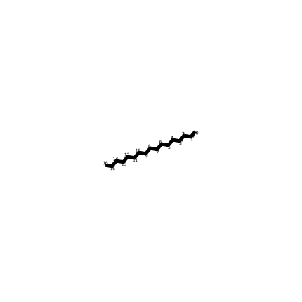 C[CH]C[CH]CCCCCCCCCCCCC